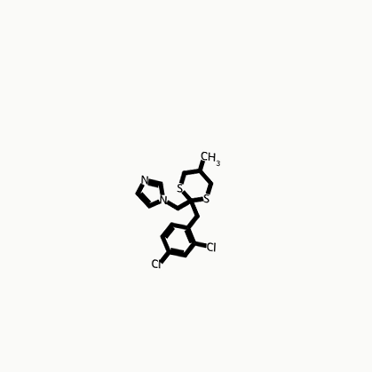 CC1CSC(Cc2ccc(Cl)cc2Cl)(Cn2ccnc2)SC1